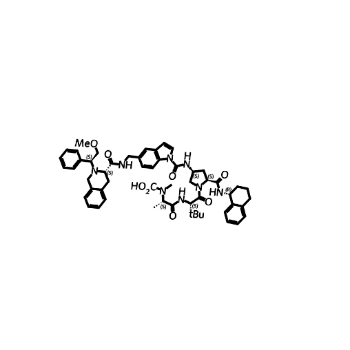 COC[C@H](c1ccccc1)N1Cc2ccccc2C[C@H]1C(=O)NCc1ccc2c(ccn2C(=O)N[C@H]2C[C@@H](C(=O)N[C@@H]3CCCc4ccccc43)N(C(=O)[C@@H](NC(=O)[C@H](C)N(C)C(=O)O)C(C)(C)C)C2)c1